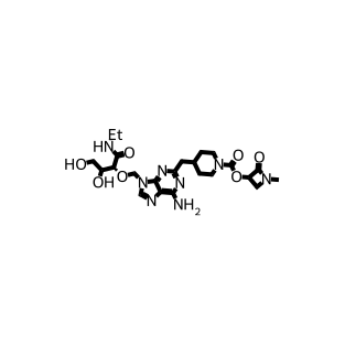 CCNC(=O)[C@@H](OCn1cnc2c(N)nc(CC3CCN(C(=O)OC4CN(C)C4=O)CC3)nc21)C(O)CO